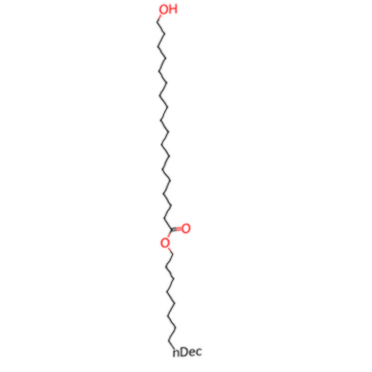 CCCCCCCCCCCCCCCCCCOC(=O)CCCCCCCCCCCCCCCCCO